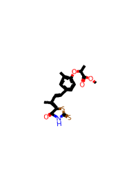 COC(=O)C(C)Oc1ccc(C=CC(C)=C2SC(=S)NC2=O)cc1C